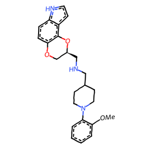 COc1ccccc1N1CCC(CNC[C@H]2COc3ccc4[nH]ccc4c3O2)CC1